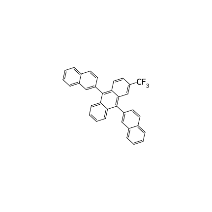 FC(F)(F)c1ccc2c(-c3ccc4ccccc4c3)c3ccccc3c(-c3ccc4ccccc4c3)c2c1